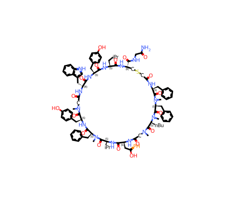 CCCC[C@H]1C(=O)N(C)CC(=O)N[C@@H](CC(O)=P)C(=O)N[C@@H](C(C)C)C(=O)N(C)[C@@H](Cc2ccccc2)C(=O)N[C@@H](Cc2ccc(O)cc2)C(=O)N(C)CC(=O)N[C@H](Cc2c[nH]c3ccccc23)C(=O)N[C@@H](Cc2ccc(O)cc2)C(=O)N[C@@H](CC(C)C)C(=O)N[C@H](C(=O)NCC(N)=O)CSCC(=O)N[C@@H](Cc2ccccc2)C(=O)N(C)[C@@H](Cc2ccccc2)C(=O)N1C